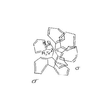 [Cl-].[Cl-].[SiH3][Zr+2]([SiH3])([C]1=CC=CC1)([c]1ccccc1)([c]1ccccc1)([c]1ccccc1)([c]1ccccc1)[CH]1c2ccccc2-c2ccccc21